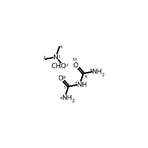 CN(C)C=O.NC(=O)NC(N)=O